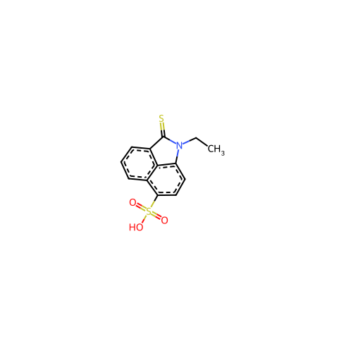 CCN1C(=S)c2cccc3c(S(=O)(=O)O)ccc1c23